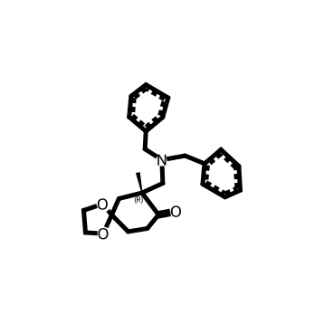 C[C@]1(CN(Cc2ccccc2)Cc2ccccc2)CC2(CCC1=O)OCCO2